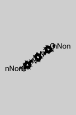 CCCCCCCCCOc1ccc(C=Nc2ccc(N=Cc3ccc(OCCCCCCCCC)cc3)cc2)cc1